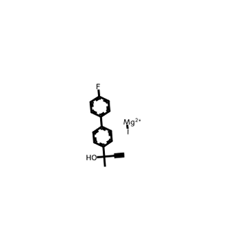 C#CC(C)(O)c1ccc(-c2ccc(F)cc2)cc1.[Mg+2][I]